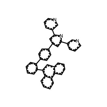 c1cncc(-c2cc(-c3ccc(-c4ccccc4-c4cc5ccccc5c5ccccc45)cc3)cc(-c3cccnc3)n2)c1